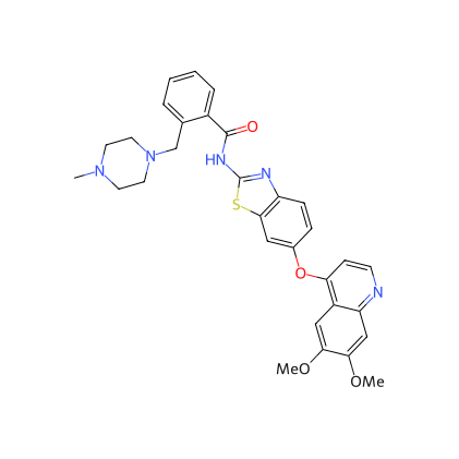 COc1cc2nccc(Oc3ccc4nc(NC(=O)c5ccccc5CN5CCN(C)CC5)sc4c3)c2cc1OC